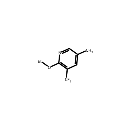 CCOc1ncc(C)cc1C(F)(F)F